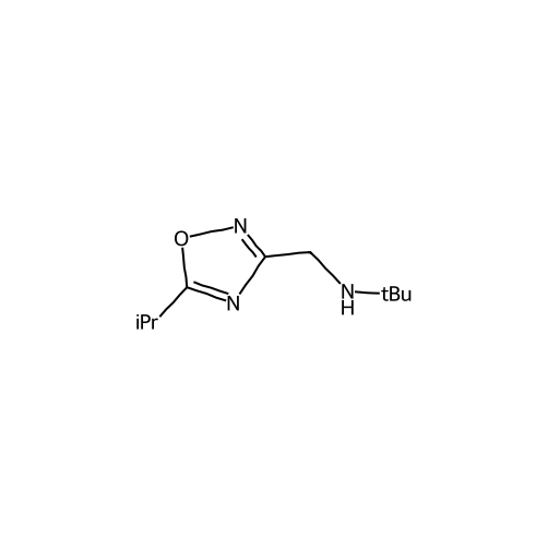 CC(C)c1nc(CNC(C)(C)C)no1